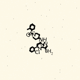 Bc1cnn2c(NC3CCN([S+]([O-])c4ccccc4C)CC3)cc(-c3ccccc3Cl)nc12